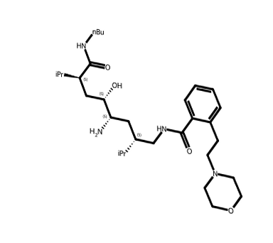 CCCCNC(=O)[C@@H](C[C@H](O)[C@@H](N)C[C@H](CNC(=O)c1ccccc1CCN1CCOCC1)C(C)C)C(C)C